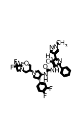 COCC(CN1CC(F)(F)C1)N1C[C@@H](NC(=O)Nc2c(C)c(-c3cnn(C)c3)nn2-c2ccccc2)[C@H](c2ccc(F)c(F)c2)C1